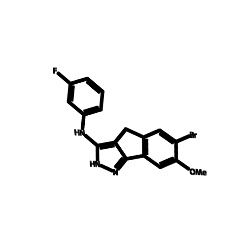 COc1cc2c(cc1Br)Cc1c-2n[nH]c1Nc1cccc(F)c1